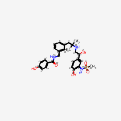 CC(C)(Cc1cccc(CNC(=O)c2ccc(O)cc2)c1)NC[C@@H](O)c1ccc(O)c(NS(C)(=O)=O)c1